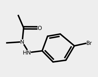 CC(=O)N(C)Nc1ccc(Br)cc1